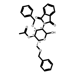 CC(=O)O[C@H]1[C@H](OCc2ccccc2)[C@@H](N2C(=O)c3ccccc3C2=O)C(O)O[C@@H]1COCc1ccccc1